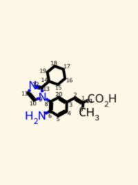 CC(=Cc1ccc(N)c(-n2ccnc2C2CCCCC2)c1)C(=O)O